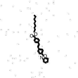 CCCCCCCCCOC(=O)c1ccc(C=Cc2ccc(-c3nc4ccccc4o3)cc2)cc1